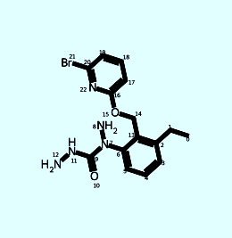 CCc1cccc(N(N)C(=O)NN)c1COc1cccc(Br)n1